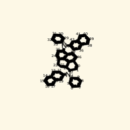 C1=CC(N(c2ccccc2)c2ccc3ccccc3c2)C2=CCc3ccc(N(c4ccccc4)c4ccc5ccccc5c4)c4ccc1c2c34